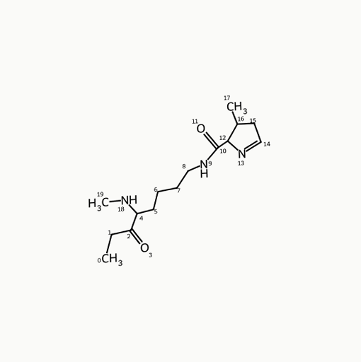 CCC(=O)C(CCCCNC(=O)C1N=CCC1C)NC